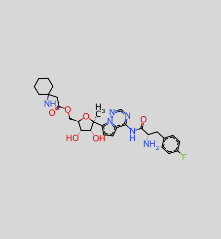 C[C@@]1(c2ccc3c(NC(=O)[C@@H](N)Cc4ccc(F)cc4)ncnn23)O[C@H](COC(=O)CC2(N)CCCCC2)[C@@H](O)[C@H]1O